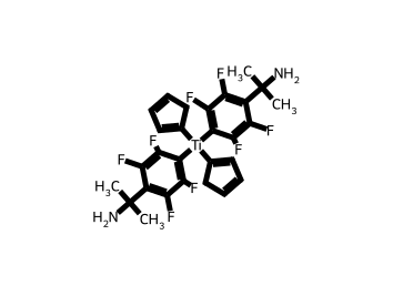 CC(C)(N)c1c(F)c(F)[c]([Ti]([C]2=CC=CC2)([C]2=CC=CC2)[c]2c(F)c(F)c(C(C)(C)N)c(F)c2F)c(F)c1F